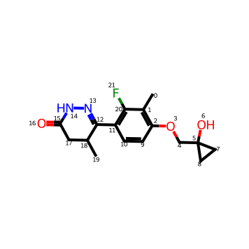 Cc1c(OCC2(O)CC2)ccc(C2=NNC(=O)CC2C)c1F